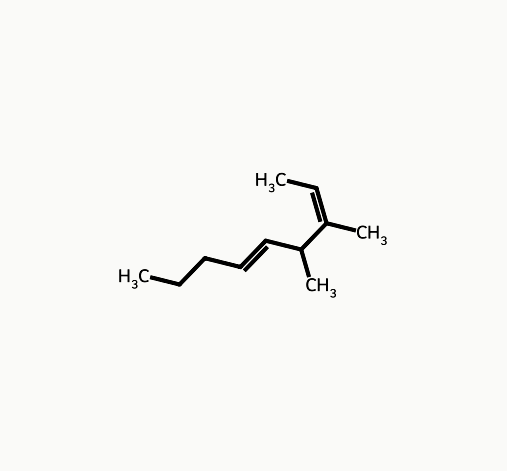 CC=C(C)C(C)C=CCCC